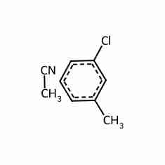 CC#N.Cc1cccc(Cl)c1